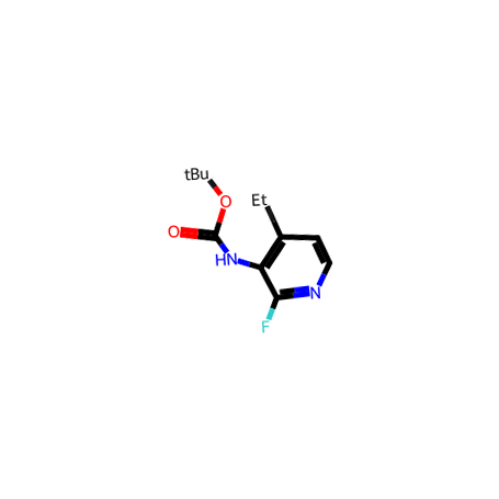 CCc1ccnc(F)c1NC(=O)OC(C)(C)C